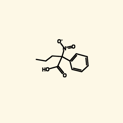 CCCC(C(=O)O)(c1ccccc1)[N+](=O)[O-]